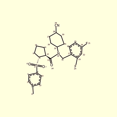 Cc1ccc(S(=O)(=O)[C@@H]2CCC[C@H]2C(=O)N(Cc2ccc(F)cc2F)C2CCC(C#N)CC2)cc1